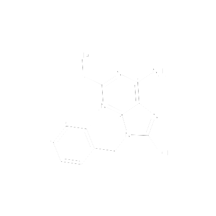 CCC(C)Sc1nc(N)c2nc(O)n(Cc3ccccc3)c2n1